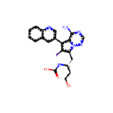 Nc1ncnn2c(C[C@H](CCO)NC(=O)O)c(I)c(-c3cnc4ccccc4c3)c12